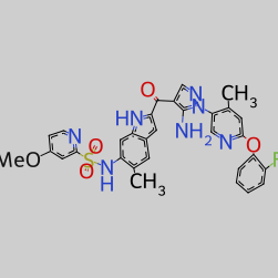 COc1ccnc(S(=O)(=O)Nc2cc3[nH]c(C(=O)c4cnn(-c5cnc(Oc6ccccc6F)cc5C)c4N)cc3cc2C)c1